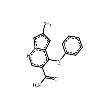 NC(=O)c1cnn2cc(N)cc2c1Nc1ccccc1